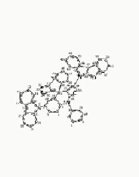 c1ccc(N2c3ccc(-n4c5ccccc5c5ccccc54)cc3C3(c4ccccc4-c4ccccc43)c3cc(-n4c5ccccc5c5c6ccccc6oc54)ccc32)cc1